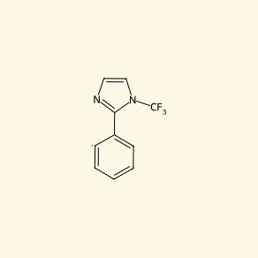 FC(F)(F)n1ccnc1-c1[c]cccc1